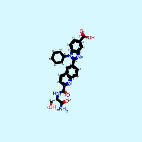 NC(=O)[C@H](CO)NC(=O)c1ccc2cc(-c3nc4cc(C(=O)O)ccc4n3C3CCCCC3)ccc2n1